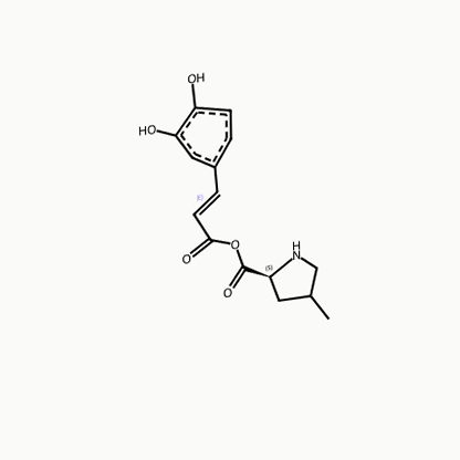 CC1CN[C@H](C(=O)OC(=O)/C=C/c2ccc(O)c(O)c2)C1